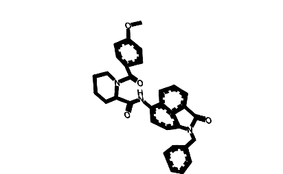 COc1ccc(C(=O)N2CCCCC2C(=O)Nc2ccc3c4c(cccc24)C(=O)N3Cc2ccccc2)cc1